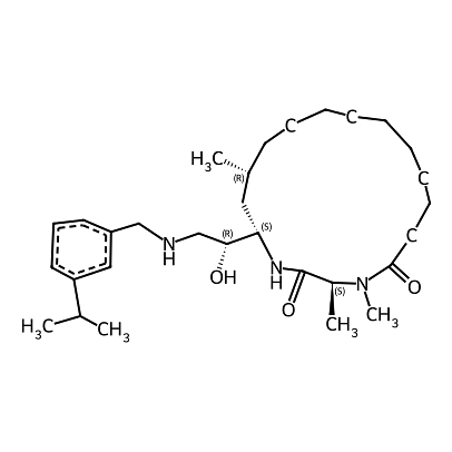 CC(C)c1cccc(CNC[C@@H](O)[C@@H]2C[C@H](C)CCCCCCCCCC(=O)N(C)[C@@H](C)C(=O)N2)c1